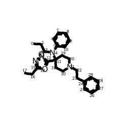 CCC(=O)N(c1ccccc1)C1(c2nnc(CC)o2)CCN(CCc2ccccc2)CC1